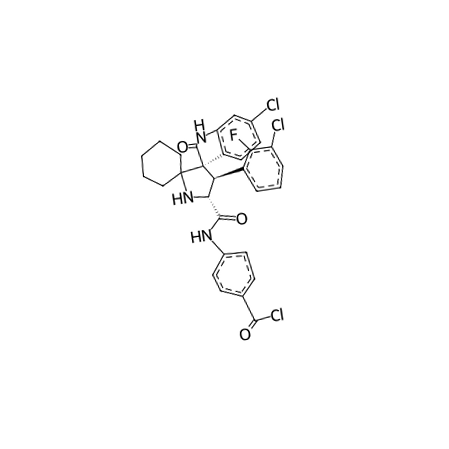 O=C(Cl)c1ccc(NC(=O)[C@@H]2NC3(CCCCC3)[C@@]3(C(=O)Nc4cc(Cl)ccc43)[C@H]2c2cccc(Cl)c2F)cc1